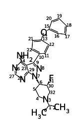 CC(C)N1CC[C@@H](n2nc(-c3ccc(Oc4ccccc4)cc3)c3c(N)ncnc32)[C@@H](F)C1